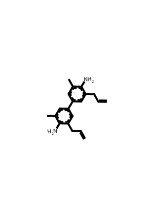 C=CCc1cc(-c2cc(C)c(N)c(CC=C)c2)cc(C)c1N